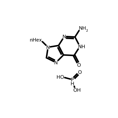 CCCCCCn1cnc2c(=O)[nH]c(N)nc21.O=[PH](O)O